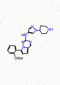 COc1ccccc1-c1ccc2cnc(Nc3cnn(C4CCNCC4)c3)nn12